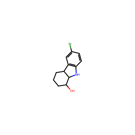 OC1CCCC2c3cc(Br)ccc3NC12